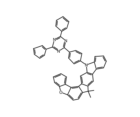 CC1(C)c2cc3c4ccccc4n(-c4ccc(-c5nc(-c6ccccc6)nc(-c6ccccc6)n5)cc4)c3cc2-c2c1ccc1oc3ccccc3c21